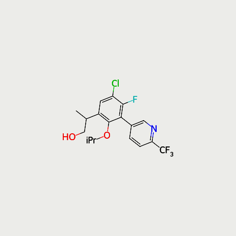 CC(C)Oc1c(C(C)CO)cc(Cl)c(F)c1-c1ccc(C(F)(F)F)nc1